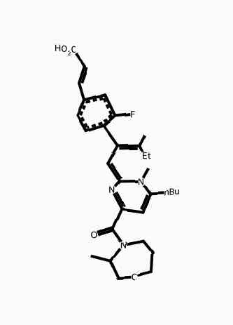 CCCCC1=CC(C(=O)N2CCCCCC2C)=N/C(=C/C(=C(/C)CC)c2ccc(/C=C/C(=O)O)cc2F)N1C